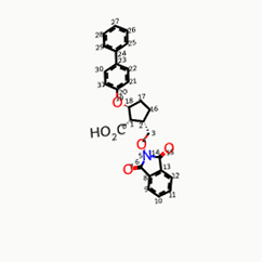 O=C(O)[C@H]1[C@@H](CON2C(=O)c3ccccc3C2=O)CC[C@H]1Oc1ccc(-c2ccccc2)cc1